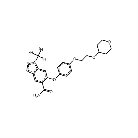 [2H]C([2H])([2H])n1ncc2cc(C(N)=O)c(Oc3ccc(OCCOC4CCOCC4)cc3)cc21